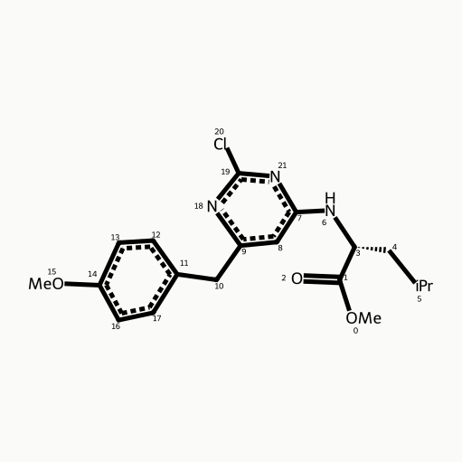 COC(=O)[C@@H](CC(C)C)Nc1cc(Cc2ccc(OC)cc2)nc(Cl)n1